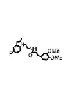 COc1ccc(/C=C/C(=O)NCCn2c(C)cc3cc(F)ccc32)cc1OC